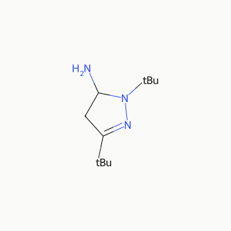 CC(C)(C)C1=NN(C(C)(C)C)C(N)C1